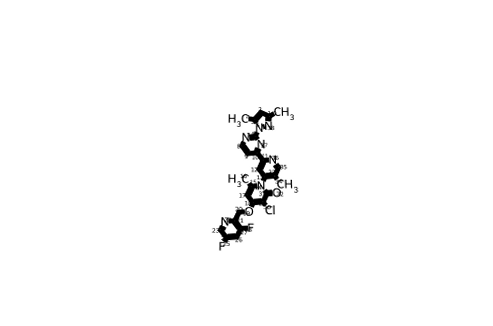 Cc1cc(C)n(-c2nccc(-c3cc(-n4c(C)cc(OCc5ncc(F)cc5F)c(Cl)c4=O)c(C)cn3)n2)n1